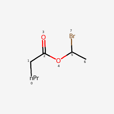 CCCCC(=O)OC(C)Br